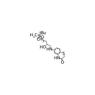 CC(C)(C)[Si](C)(C)OCCC(O)CNc1ccc2c(c1)NC(=O)CS2